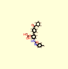 Cc1ccc2nc(Nc3ccc(-c4ccc(C(=O)C5CCCCC5)cc4)cc3)oc2c1.O=C(O)O